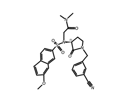 COc1ccc2ccc(S(=O)(=O)N(CC(=O)N(C)C)[C@H]3CCN(Cc4cccc(C#N)c4)C3=O)cc2c1